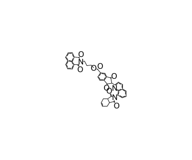 O=C(OCCCN1C(=O)c2cccc3cccc(c23)C1=O)c1ccc2c(c1)C(=O)C(c1ccc3cccc(N4C(=O)C5CC=CCC5C4=O)c3n1)C2=O